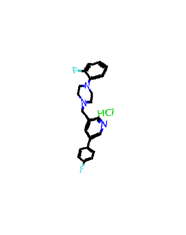 Cl.Fc1ccc(-c2cncc(CN3CCN(c4ccccc4F)CC3)c2)cc1